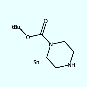 CC(C)(C)OC(=O)N1CCNCC1.[Sn]